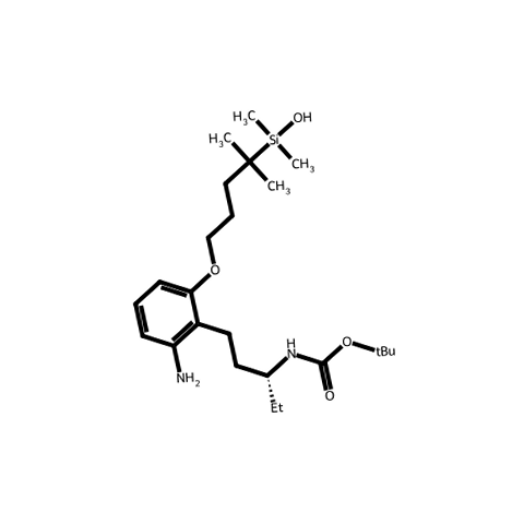 CC[C@H](CCc1c(N)cccc1OCCCC(C)(C)[Si](C)(C)O)NC(=O)OC(C)(C)C